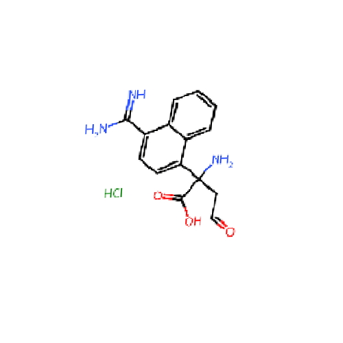 Cl.N=C(N)c1ccc(C(N)(CC=O)C(=O)O)c2ccccc12